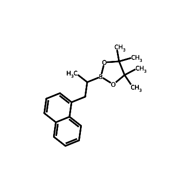 CC(Cc1cccc2ccccc12)B1OC(C)(C)C(C)(C)O1